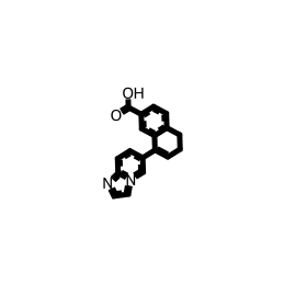 O=C(O)c1ccc2c(c1)C(c1ccc3nccn3c1)=CCC2